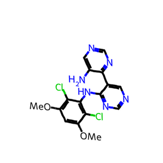 COc1cc(OC)c(Cl)c(Nc2ncncc2-c2ncncc2N)c1Cl